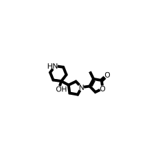 CC1=C(N2CCC(C3(O)CCNCC3)C2)COC1=O